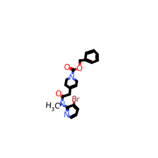 CN(C(=O)CC1=CCN(C(=O)OCc2ccccc2)CC1)c1ncccc1Br